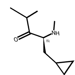 CN[C@@H](CC1CC1)C(=O)C(C)C